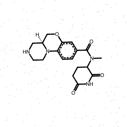 CN(C(=O)c1ccc2c(c1)OC[C@@H]1CNCCN21)C1CCC(=O)NC1=O